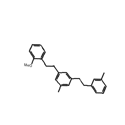 COc1ccccc1CCc1cc(C)cc(CCc2cccc(C)c2)c1